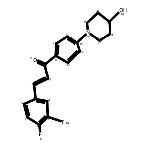 O=C(C=Cc1ccc(F)c(F)c1)c1ccc(N2CCC(O)CC2)cc1